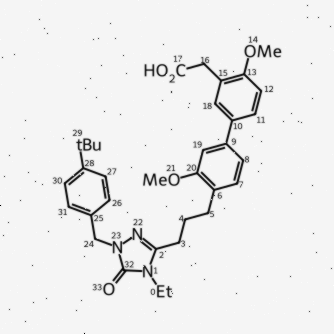 CCn1c(CCCc2ccc(-c3ccc(OC)c(CC(=O)O)c3)cc2OC)nn(Cc2ccc(C(C)(C)C)cc2)c1=O